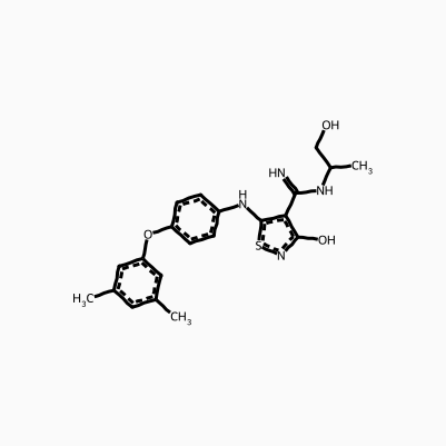 Cc1cc(C)cc(Oc2ccc(Nc3snc(O)c3C(=N)NC(C)CO)cc2)c1